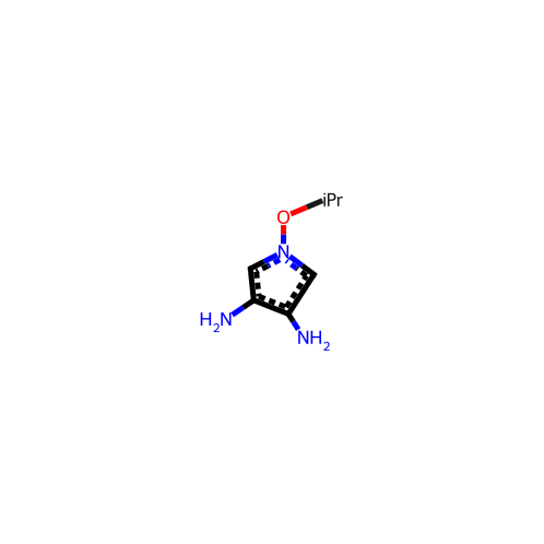 CC(C)On1cc(N)c(N)c1